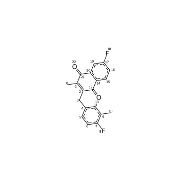 CC1=C(Cc2ccc(F)c(C)c2)C(=O)c2ccc(F)cc2C1=O